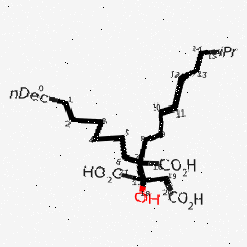 CCCCCCCCCCCCCCCCC(CCCCCCCC(C)C)(C(=O)O)C(O)(CC(=O)O)C(=O)O